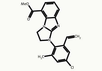 C=Cc1cc(Cl)cc(C)c1N1CCn2c1nc1cccc(C(=O)OC)c12